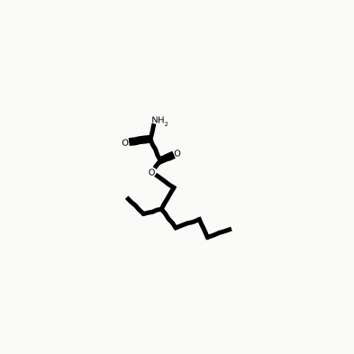 CCCCC(CC)COC(=O)C(N)=O